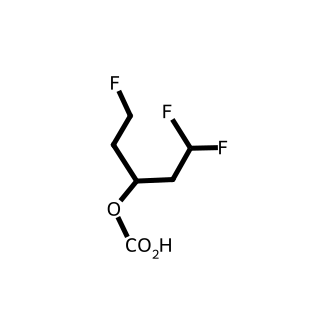 O=C(O)OC(CCF)CC(F)F